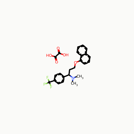 CN(C)C(CCOc1cccc2ccccc12)c1ccc(C(F)(F)F)cc1.O=C(O)C(=O)O